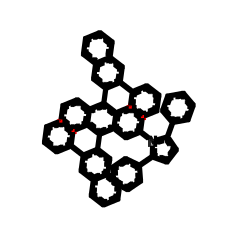 c1ccc(-c2cc3ccccc3cc2-c2c3ccccc3c(-c3cc4ccccc4cc3-c3ccccc3)c3cc(-n4c(-c5ccccc5)ccc4-c4ccccc4)ccc23)cc1